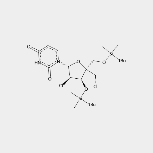 CC(C)(C)[Si](C)(C)OC[C@@]1(CCl)O[C@@H](n2ccc(=O)[nH]c2=O)[C@H](Cl)[C@@H]1O[Si](C)(C)C(C)(C)C